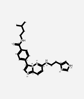 CC(C)CCNC(=O)c1ccc(-c2cnc3ccc(NCCc4c[nH]cn4)nn23)cc1